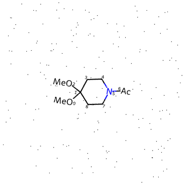 COC1(OC)CCN(C(C)=O)CC1